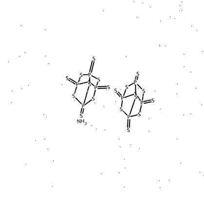 N.S=P12SP3(=S)SP(=S)(S1)SP(=S)(S2)S3.S=P12SP3(=S)SP(=S)(S1)SP(=S)(S2)S3